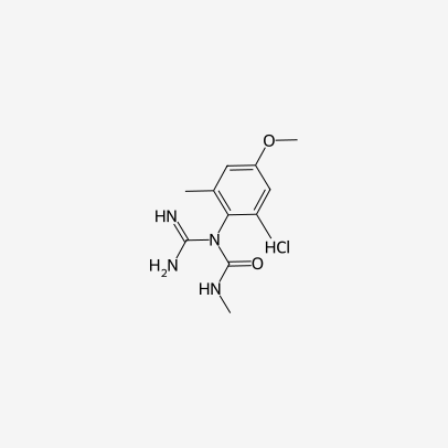 CNC(=O)N(C(=N)N)c1c(C)cc(OC)cc1C.Cl